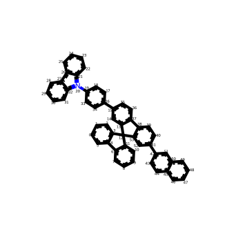 c1ccc2c(c1)-c1ccccc1C21c2cc(-c3ccc(-n4c5ccccc5c5ccccc54)cc3)ccc2-c2ccc(-c3ccc4ccccc4c3)cc21